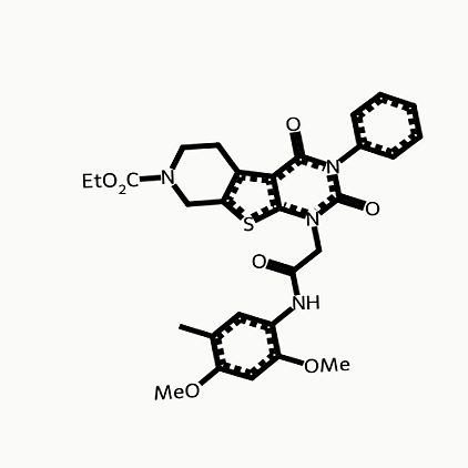 CCOC(=O)N1CCc2c(sc3c2c(=O)n(-c2ccccc2)c(=O)n3CC(=O)Nc2cc(C)c(OC)cc2OC)C1